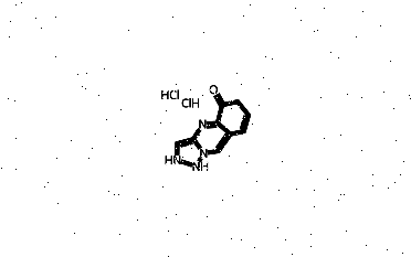 Cl.Cl.O=C1CC=CC2=CN3NNC=C3N=C12